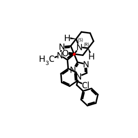 Cn1nc2c(c1-c1cccc(Cl)c1)C[C@H]1CCC[C@@H]2N1C(=O)c1ncn(Cc2ccccc2)n1